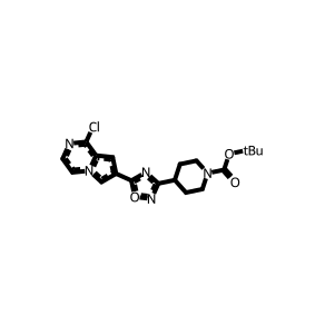 CC(C)(C)OC(=O)N1CCC(c2noc(-c3cc4c(Cl)nccn4c3)n2)CC1